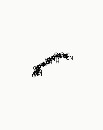 CC1(C)[C@H](NC(=O)c2ccc(N3CC[C@@H]4C[C@H](N5CCN(c6ccc7c(c6)C(=O)N(C6CCC(=O)NC6=O)C7=O)CC5)CC[C@@H]4C3)nc2)C(C)(C)[C@H]1Oc1ccc(C#N)c(Cl)c1